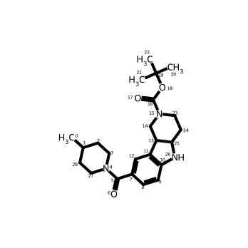 CC1CCN(C(=O)c2ccc3c(c2)C2CN(C(=O)OC(C)(C)C)CCC2N3)CC1